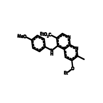 CCOC(=O)c1cnc2nc(C)c(OCC)cc2c1Nc1ccc(OC)cc1